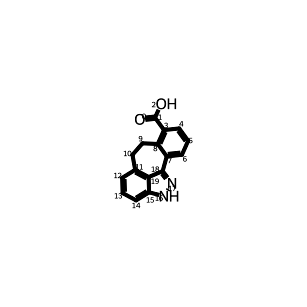 O=C(O)c1cccc2c1CCc1cccc3[nH]nc-2c13